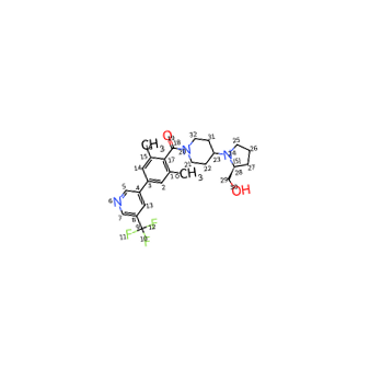 Cc1cc(-c2cncc(C(F)(F)F)c2)cc(C)c1C(=O)N1CCC(N2CCC[C@H]2CO)CC1